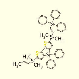 C/C=C/[Si](C)(C)c1cc2c(s1)-c1sc([Si](C)(C)/C=C/[Si](c3ccccc3)(c3ccccc3)c3ccccc3)cc1[Si]2(c1ccccc1)c1ccccc1